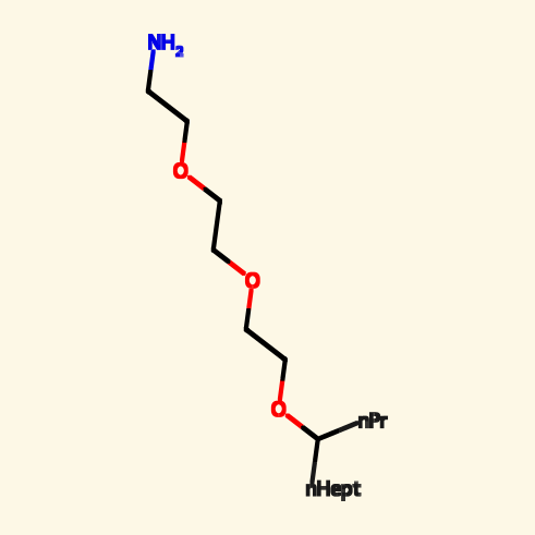 CCCCCCCC(CCC)OCCOCCOCCN